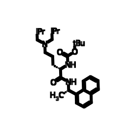 CC(C)CN(CCC[C@H](NC(=O)OC(C)(C)C)C(=O)N[C@@H](C)c1cccc2ccccc12)CC(C)C